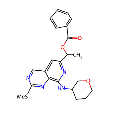 CSc1ncc2cc(C(C)OC(=O)c3ccccc3)nc(NC3CCCOC3)c2n1